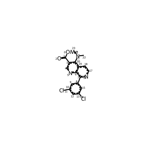 COC(=O)c1cnc2c(-c3cc(Cl)cc(Cl)c3)nccc2c1N(C)C